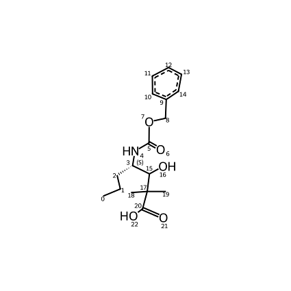 CCC[C@H](NC(=O)OCc1ccccc1)C(O)C(C)(C)C(=O)O